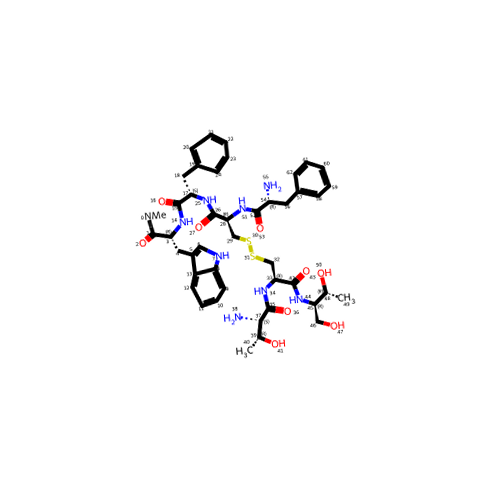 CNC(=O)[C@@H](Cc1c[nH]c2ccccc12)NC(=O)[C@H](Cc1ccccc1)NC(=O)[C@H](CSSC[C@H](NC(=O)[C@@H](N)[C@@H](C)O)C(=O)N[C@H](CO)[C@@H](C)O)NC(=O)[C@H](N)Cc1ccccc1